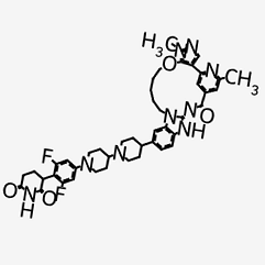 Cc1cc2cc(n1)-c1cnn(C)c1OCCCCCN1/C(=N/C2=O)Nc2ccc(C3CCN(C4CCN(c5cc(F)c(C6CCC(=O)NC6=O)c(F)c5)CC4)CC3)cc21